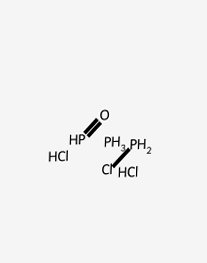 Cl.Cl.O=P.P.PCl